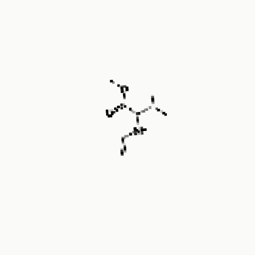 C=CNC(C(=O)OC)C(C)C